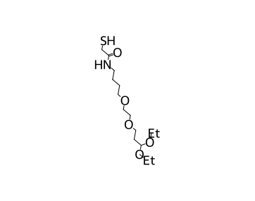 CCOC(CCOCCOCCCCNC(=O)CS)OCC